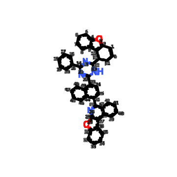 C1=Cc2oc3ccccc3c2C(C2N=C(c3ccccc3)N=C(c3ccc(-c4nc5oc6ccccc6c5c5ccccc45)c4ccccc34)N2)C1